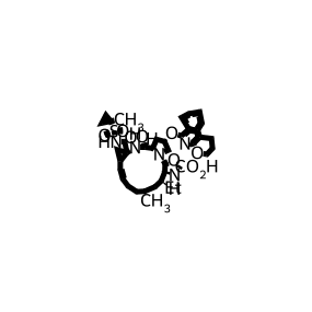 CC[C@@H]1C[C@H](C)CC/C=C\C2CC2(C(=O)NS(=O)(=O)C2(C)CC2)NC(=O)[C@@H]2C[C@@H](Oc3nc4c(c5ccccc35)CCCO4)CN2C(=O)[C@H]1NC(=O)O